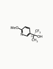 COc1ccc([C@](C)(O)C(F)(F)F)cn1